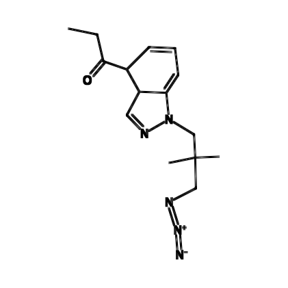 CCC(=O)C1C=CC=C2C1C=NN2CC(C)(C)CN=[N+]=[N-]